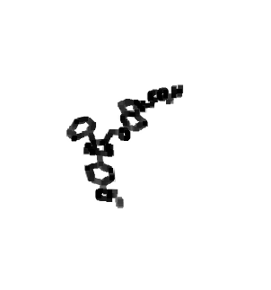 O=C(O)Cn1ccc2cc(OCc3sc(-c4ccc(C(F)(F)F)cc4)nc3-c3ccccc3)ccc21